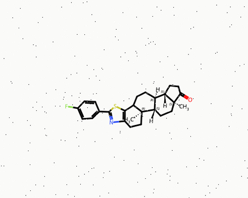 C[C@]12CCc3nc(-c4ccc(F)cc4)sc3C1CC[C@@H]1[C@@H]2CC[C@]2(C)C(=O)CC[C@@H]12